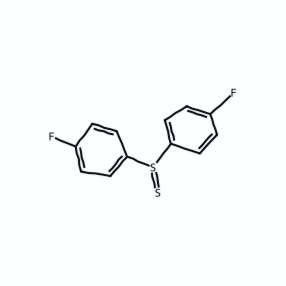 Fc1ccc(S(=S)c2ccc(F)cc2)cc1